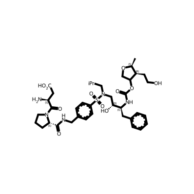 CC(C)CN(C[C@@H](O)[C@H](Cc1ccccc1)NC(=O)OC1CO[C@@H](C)[C@H]1CCO)S(=O)(=O)c1ccc(CNC(=O)[C@@H]2CCCN2C(=O)[C@@H](N)CC(=O)O)cc1